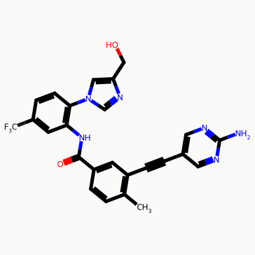 Cc1ccc(C(=O)Nc2cc(C(F)(F)F)ccc2-n2cnc(CO)c2)cc1C#Cc1cnc(N)nc1